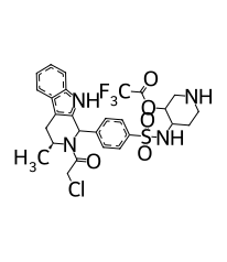 C[C@H]1Cc2c([nH]c3ccccc23)C(c2ccc(S(=O)(=O)NC3CCNCC3OC(=O)C(F)(F)F)cc2)N1C(=O)CCl